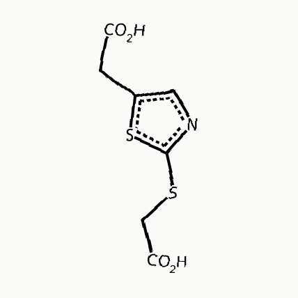 O=C(O)CSc1ncc(CC(=O)O)s1